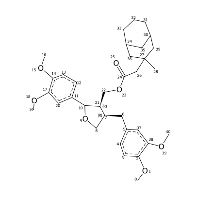 COc1ccc(C[C@H]2COC(c3ccc(OC)c(OC)c3)[C@H]2COC(=O)CC2(C)CC3CCCC(C3)C2)cc1OC